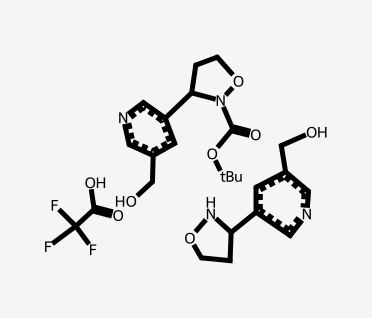 CC(C)(C)OC(=O)N1OCCC1c1cncc(CO)c1.O=C(O)C(F)(F)F.OCc1cncc(C2CCON2)c1